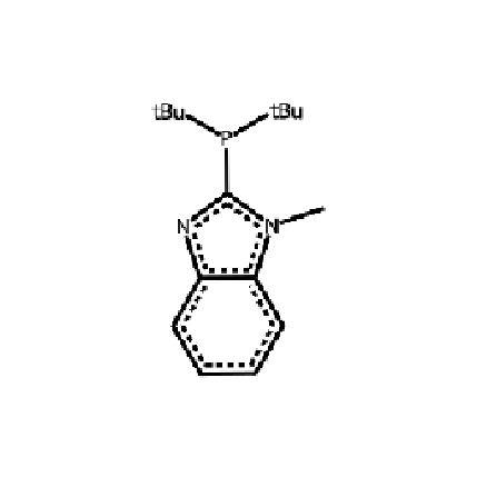 Cn1c(P(C(C)(C)C)C(C)(C)C)nc2ccccc21